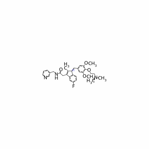 COc1cc(/C=C2/C(C)=C(CC(=O)NCc3cccnc3)c3cc(F)ccc32)cc(OC)c1OCCN(C)C